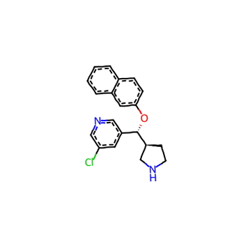 Clc1cncc([C@H](Oc2ccc3ccccc3c2)[C@H]2CCNC2)c1